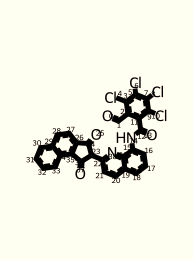 O=Cc1c(Cl)c(Cl)c(Cl)c(Cl)c1C(=O)Nc1cccc2ccc(C3C(=O)c4ccc5ccccc5c4C3=O)nc12